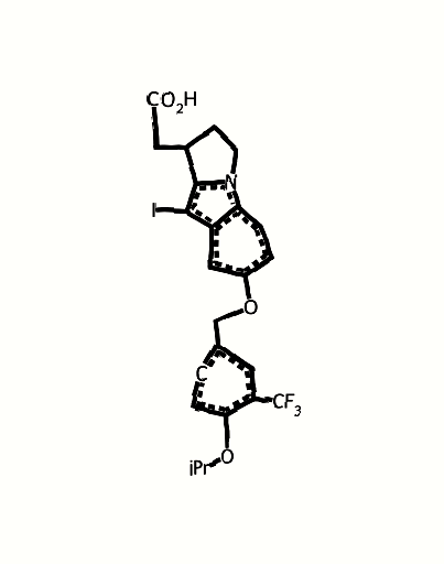 CC(C)Oc1ccc(COc2ccc3c(c2)c(I)c2n3CCC2CC(=O)O)cc1C(F)(F)F